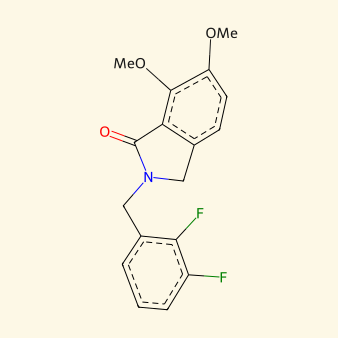 COc1ccc2c(c1OC)C(=O)N(Cc1cccc(F)c1F)C2